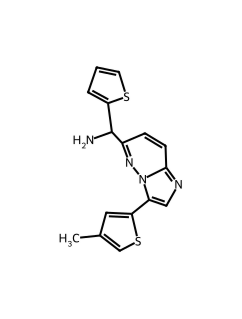 Cc1csc(-c2cnc3ccc(C(N)c4cccs4)nn23)c1